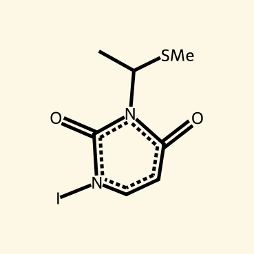 CSC(C)n1c(=O)ccn(I)c1=O